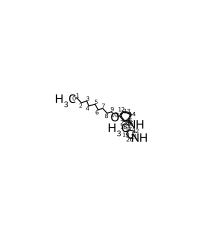 CCCCCCCCCCOc1cccc(NC2(C)CCNC2)c1